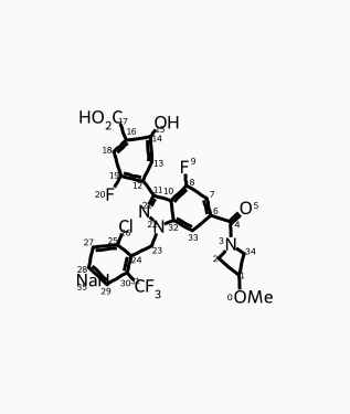 COC1CN(C(=O)c2cc(F)c3c(-c4cc(O)c(C(=O)O)cc4F)nn(Cc4c(Cl)cccc4C(F)(F)F)c3c2)C1.[NaH]